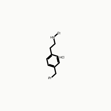 CCNCCc1ccc(CC(C)C)cc1.Cl